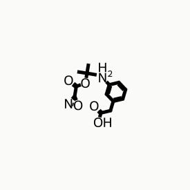 CC(C)(C)OC(=O)C1=NO1.Nc1cccc(CC(=O)O)c1